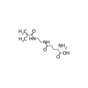 C=C(C)C(=O)NCCNC(=O)CC[C@H](N)C(=O)O